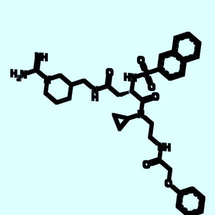 N=C(N)N1CCCC(CNC(=O)C[C@H](NS(=O)(=O)c2ccc3ccccc3c2)C(=O)N(CCNC(=O)COc2ccccc2)C2CC2)C1